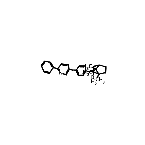 BC1(c2ccc(-c3ccc(-c4ccccc4)nc3)cc2)CC2CCC1(C)C2(C)C